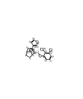 CN1C2CCC1[C@@H](COc1cccc(Cl)c1Cl)[C@H](c1ccoc1)C2